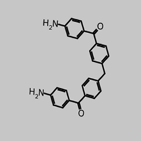 Nc1ccc(C(=O)c2ccc(Cc3ccc(C(=O)c4ccc(N)cc4)cc3)cc2)cc1